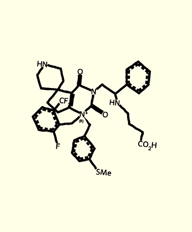 CSc1cccc(C[N@+]2(Cc3c(F)cccc3C(F)(F)F)C(=O)N(CC(NCCCC(=O)O)c3ccccc3)C(=O)C3=C2CCC32CCNCC2)c1